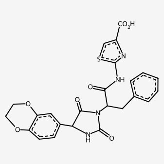 O=C(O)c1csc(NC(=O)C(Cc2ccccc2)N2C(=O)NC(c3ccc4c(c3)OCCO4)C2=O)n1